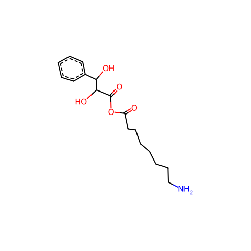 NCCCCCCCC(=O)OC(=O)C(O)C(O)c1ccccc1